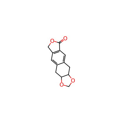 O=C1OCc2cc3c(cc21)CC1OCOC1C3